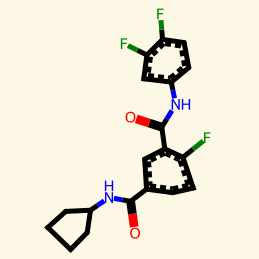 O=C(NC1CCCC1)c1ccc(F)c(C(=O)Nc2ccc(F)c(F)c2)c1